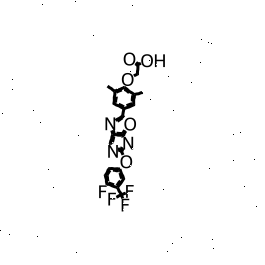 Cc1cc(-c2nc3cnc(Oc4ccc(F)c(C(F)(F)F)c4)nc3o2)cc(C)c1OCC(=O)O